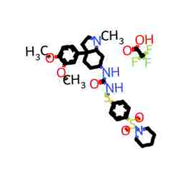 COc1ccc(C23CCC(NC(=O)NSc4ccc(S(=O)(=O)N5CCCCC5)cc4)CC2N(C)CC3)cc1OC.O=C(O)C(F)(F)F